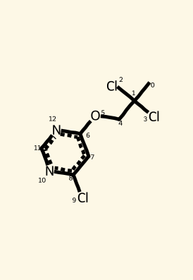 CC(Cl)(Cl)COc1cc(Cl)ncn1